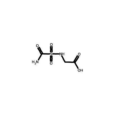 NC(=O)S(=O)(=O)NCC(=O)O